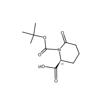 CC(C)(C)OC(=O)N1C(=O)CCC[C@H]1C(=O)O